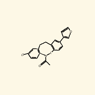 CC(=O)N1Cc2ccc(-c3ccoc3)cc2CCc2cc(Cl)ccc21